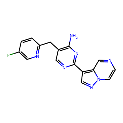 Nc1nc(-c2cnn3ccncc23)ncc1Cc1ccc(F)cn1